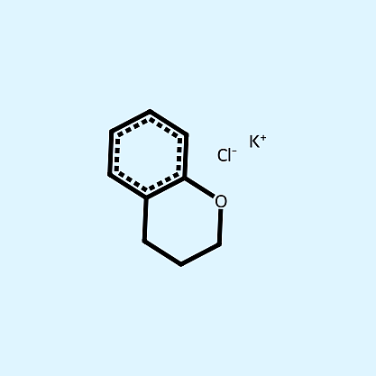 [Cl-].[K+].c1ccc2c(c1)CCCO2